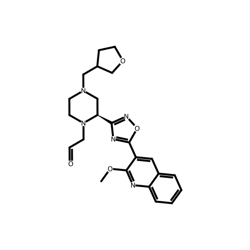 COc1nc2ccccc2cc1-c1nc([C@@H]2CN(CC3CCOC3)CCN2CC=O)no1